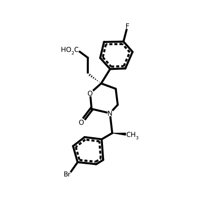 C[C@@H](c1ccc(Br)cc1)N1CC[C@](CCC(=O)O)(c2ccc(F)cc2)OC1=O